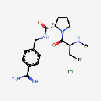 CCNC(CC(C)C)C(=O)N1CCC[C@H]1C(=O)NCc1ccc(C(=N)N)cc1.Cl